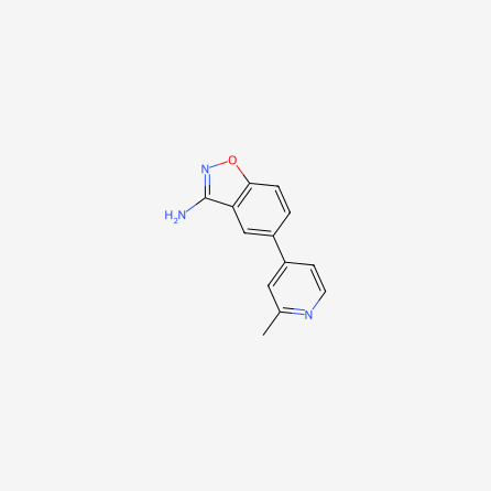 Cc1cc(-c2ccc3onc(N)c3c2)ccn1